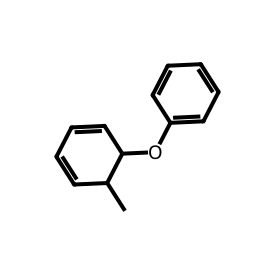 CC1C=CC=CC1Oc1ccccc1